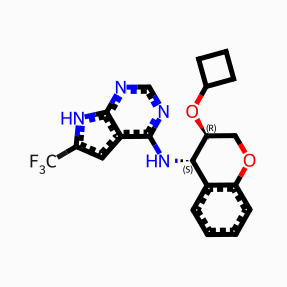 FC(F)(F)c1cc2c(N[C@H]3c4ccccc4OC[C@@H]3OC3CCC3)ncnc2[nH]1